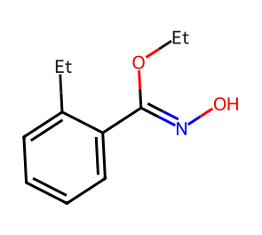 CCOC(=NO)c1ccccc1CC